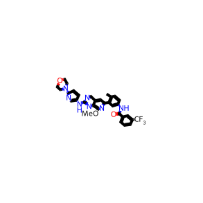 COc1nc(-c2cc(NC(=O)c3cccc(C(F)(F)F)c3)ccc2C)cc2cnc(Nc3ccc(N4CCOCC4)nc3)nc12